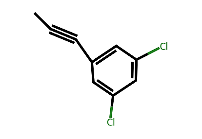 CC#Cc1cc(Cl)cc(Cl)c1